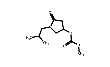 COC(=O)OC1CC(=O)N(CC(C)C)C1